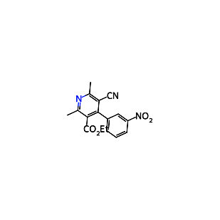 CCOC(=O)c1c(C)nc(C)c(C#N)c1-c1cccc([N+](=O)[O-])c1